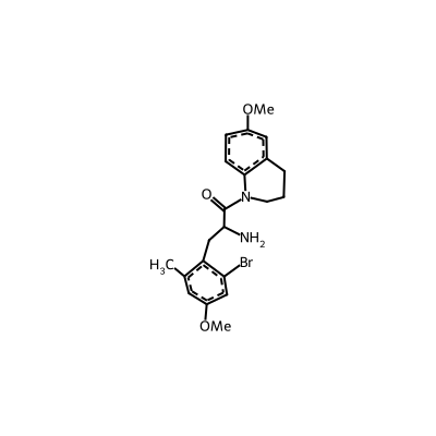 COc1cc(C)c(CC(N)C(=O)N2CCCc3cc(OC)ccc32)c(Br)c1